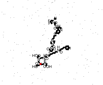 N#C[C@H]1CC(F)(F)CN1C(=O)CNC(=O)c1ccnc2ccc(OCCCCN3CCN(C(=O)CN4C(=O)CC(SC(CCCCCNC(=O)CCCc5ccc(I)cc5)CNC(=O)CN5CCN(CC(=O)O)CCN(CC(=O)O)CCN(CC(=O)O)CC5)C4=O)CC3)cc12